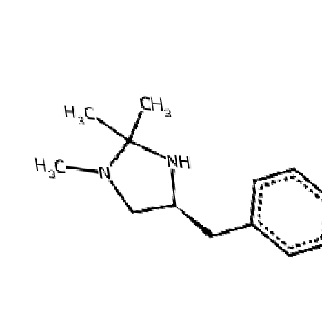 CN1C[C@H](Cc2ccccc2)NC1(C)C